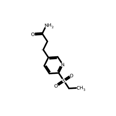 CCS(=O)(=O)c1ccc([CH]CC(N)=O)cn1